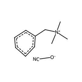 C[N+](C)(C)Cc1ccccc1.N#C[O-]